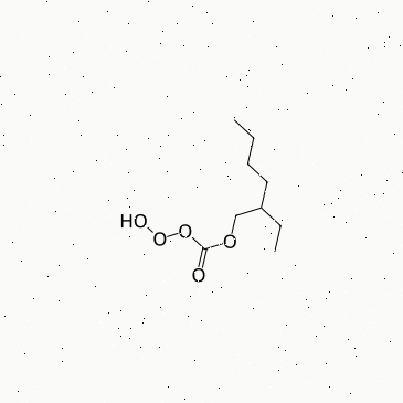 CCCCC(CC)COC(=O)OOO